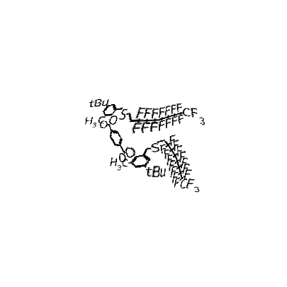 Cc1cc(C(C)(C)C)cc(CSCCC(F)(F)C(F)(F)C(F)(F)C(F)(F)C(F)(F)C(F)(F)C(F)(F)C(F)(F)F)c1OC(=O)c1ccc(C(=O)Oc2c(C)cc(C(C)(C)C)cc2CSCCC(F)(F)C(F)(F)C(F)(F)C(F)(F)C(F)(F)C(F)(F)C(F)(F)C(F)(F)F)cc1